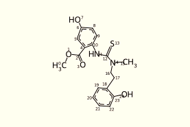 COC(=O)c1cc(O)ccc1NC(=S)N(C)CCc1ccccc1O